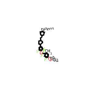 CCCCCC1CCC(CCC2CCC(c3cc(F)c(OC(F)(F)c4cc(F)c(OCCCC)cc4C)c(F)c3)CC2)CC1